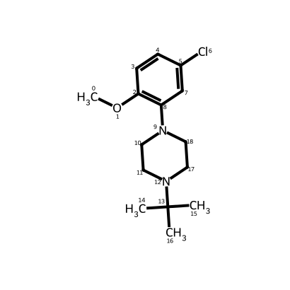 COc1ccc(Cl)cc1N1CCN(C(C)(C)C)CC1